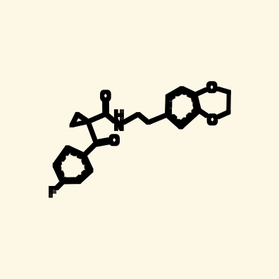 O=C(NCCc1ccc2c(c1)OCCO2)C1(C(=O)c2ccc(F)cc2)CC1